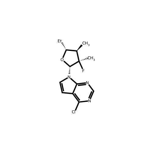 CC[C@H]1O[C@@H](n2ccc3c(Cl)ncnc32)[C@](C)(F)[C@@H]1C